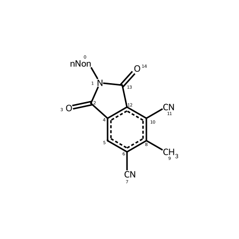 CCCCCCCCCN1C(=O)c2cc(C#N)c(C)c(C#N)c2C1=O